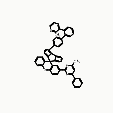 Cc1cc(-c2ccccc2)nc(-c2ccc3c(c2)C2(c4ccccc4O3)c3ccccc3-c3c(-c4ccc(-c5ccccc5-c5cccnc5C)cc4)cccc32)n1